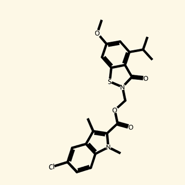 COc1cc(C(C)C)c2c(=O)n(COC(=O)c3c(C)c4cc(Cl)ccc4n3C)sc2c1